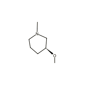 CO[C@H]1CCCN(C)C1